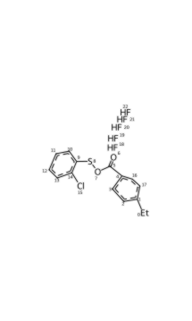 CCc1ccc(C(=O)OSc2ccccc2Cl)cc1.F.F.F.F.F